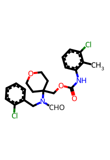 Cc1c(Cl)cccc1NC(=O)OCC1(N(C=O)Cc2ccccc2Cl)CCOCC1